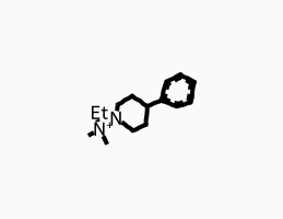 [CH2]C[N+](C)(C)N1CCC(c2ccccc2)CC1